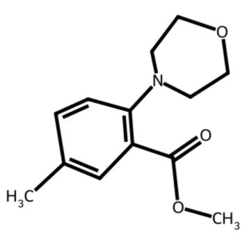 COC(=O)c1cc(C)ccc1N1CCOCC1